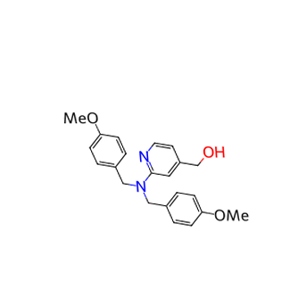 COc1ccc(CN(Cc2ccc(OC)cc2)c2cc(CO)ccn2)cc1